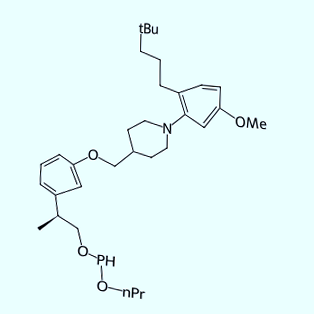 CCCOPOC[C@@H](C)c1cccc(OCC2CCN(c3cc(OC)ccc3CCCC(C)(C)C)CC2)c1